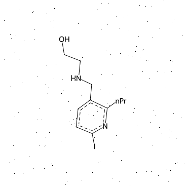 CCCc1nc(I)ccc1CNCCO